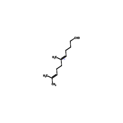 CC(C)=CCC/C(C)=C/CCCC=O